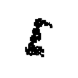 COc1cc(-c2ccc3c(c2)COc2nc(N4CCN[C@H](C(C)(C)C)C4)ccc2-3)cnn1